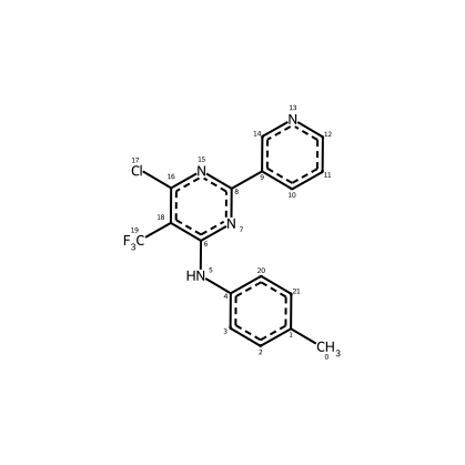 Cc1ccc(Nc2nc(-c3cccnc3)nc(Cl)c2C(F)(F)F)cc1